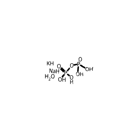 O.O=P(O)(O)OP(=O)(O)O.[KH].[NaH]